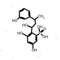 CC(CC(O)c1c(O)cc(O)cc1P(=O)(O)O)c1cccc(O)c1